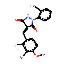 CCCOc1ccc(C=C2C(=O)NN(c3ccccc3C)C2=O)c(C)c1C